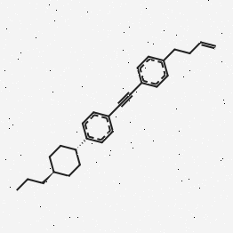 C=CCCc1ccc(C#Cc2ccc([C@H]3CC[C@H](CCC)CC3)cc2)cc1